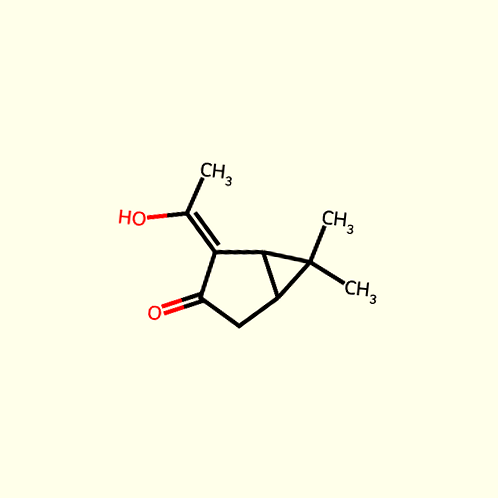 C/C(O)=C1/C(=O)CC2C1C2(C)C